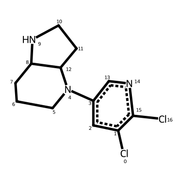 Clc1cc(N2CCCC3NCCC32)cnc1Cl